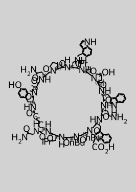 CCCC[C@H]1C(=O)N(C)[C@@H](CCCC)C(=O)N[C@@H](CC(C)C)C(=O)N[C@H](C(=O)NCC(N)=O)CSCC(=O)N[C@@H](Cc2ccc(O)cc2)C(=O)N(C)[C@@H](C)C(=O)N[C@@H](CC(N)=O)C(=O)N2CCC[C@H]2C(=O)N[C@@H](CNCc2cccc3[nH]ccc23)C(=O)N[C@@H](CC(C)C)C(=O)N2C[C@H](O)C[C@H]2C(=O)N[C@@H](Cc2c[nH]c3ccccc23)C(=O)N[C@@H](CCN)C(=O)N[C@@H](Cc2cn(CC(=O)O)c3ccccc23)C(=O)N1C